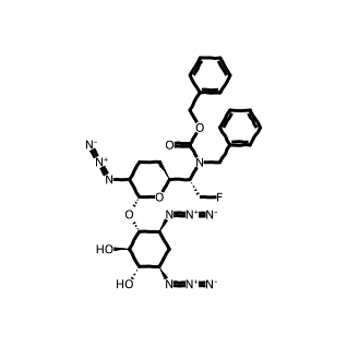 [N-]=[N+]=NC1CC[C@@H]([C@@H](CF)N(Cc2ccccc2)C(=O)OCc2ccccc2)O[C@@H]1O[C@H]1[C@H](O)[C@@H](O)[C@H](N=[N+]=[N-])C[C@@H]1N=[N+]=[N-]